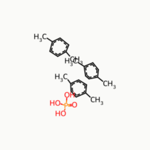 Cc1ccc(C)cc1.Cc1ccc(C)cc1.Cc1ccc(C)cc1.O=P(O)(O)O